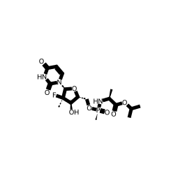 CC(C)OC(=O)[C@H](C)N[P@@](C)(=O)OC[C@H]1O[C@@H](n2ccc(=O)[nH]c2=O)[C@](C)(F)[C@@H]1O